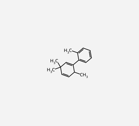 Cc1ccccc1C1=CC(C)(C)C=CC1C